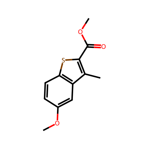 COC(=O)c1sc2ccc(OC)cc2c1C